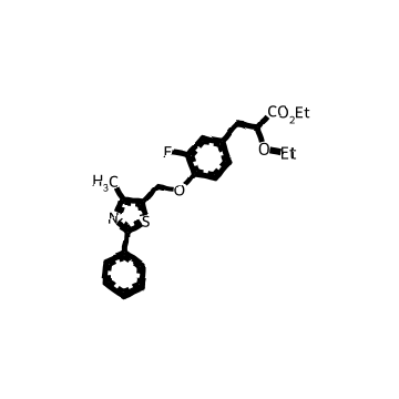 CCOC(=O)C(Cc1ccc(OCc2sc(-c3ccccc3)nc2C)c(F)c1)OCC